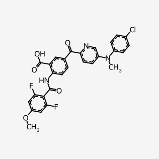 COc1cc(F)c(C(=O)Nc2ccc(C(=O)c3ccc(N(C)c4ccc(Cl)cc4)cn3)cc2C(=O)O)c(F)c1